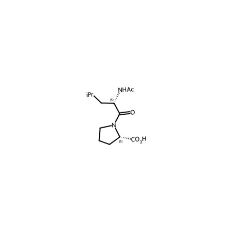 CC(=O)N[C@@H](CC(C)C)C(=O)N1CCC[C@H]1C(=O)O